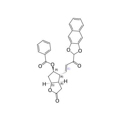 O=C1C[C@@H]2[C@@H](/C=C/C(=O)C3Oc4cc5ccccc5cc4O3)[C@H](OC(=O)c3ccccc3)C[C@@H]2O1